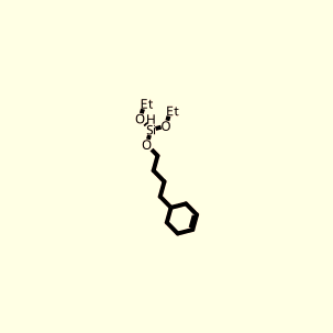 CCO[SiH](OCC)OCCCCC1CC=CCC1